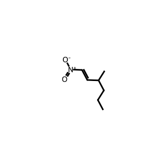 CCCC(C)C=C[N+](=O)[O-]